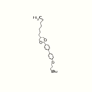 C=CCCCCCC1COC(c2ccc(-c3ccc(OCCCC(C)CC)cc3)cc2)OC1